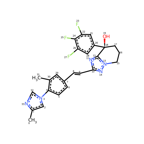 Cc1cn(-c2ccc(/C=C/c3nc4n(n3)CCC[C@@]4(O)c3cc(F)c(F)c(F)c3)cc2C)cn1